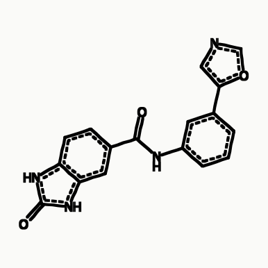 O=C(Nc1cccc(-c2cnco2)c1)c1ccc2[nH]c(=O)[nH]c2c1